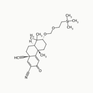 C#C[C@]12C=C(C#N)C(=O)C=C1[C@@]1(C)CC[C@@H](OCOCC[Si](C)(C)C)C(C)(C)[C@@H]1CC2